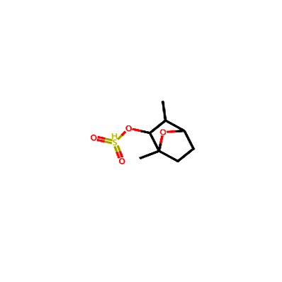 CC1C2CCC(C)(O2)C1O[SH](=O)=O